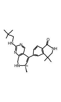 C[C@@H]1C=C(c2ccc3c(c2)C(C)(C)CNC3=O)c2cnc(NCC(C)(C)C)nc2CN1